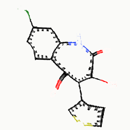 O=c1[nH]c2cc(Cl)ccc2c(=O)c(-c2ccsc2)c1O